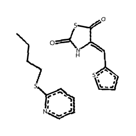 CCCCSc1ccccn1.O=C1NC(=Cc2cccs2)C(=O)S1